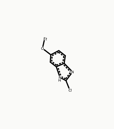 CCOc1ccc2nc(Cl)[nH]c2c1